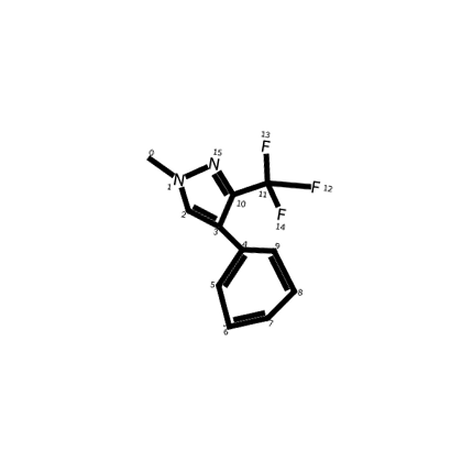 Cn1cc(-c2c[c]ccc2)c(C(F)(F)F)n1